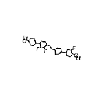 CCOc1ccc(-c2ccc(CCc3ccc(C4=CCC(OCC)CC4)c(F)c3F)cc2)cc1F